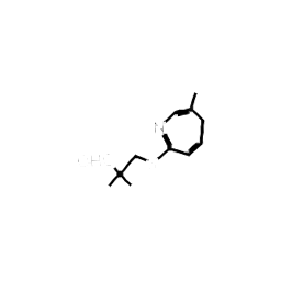 CC1=CN=C(SCC(C)(C)C=O)C=CC1